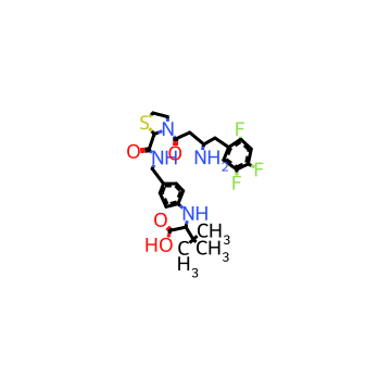 CC(C)(C)C(Nc1ccc(CNC(=O)C2SCCN2C(=O)CC(N)Cc2cc(F)c(F)cc2F)cc1)C(=O)O